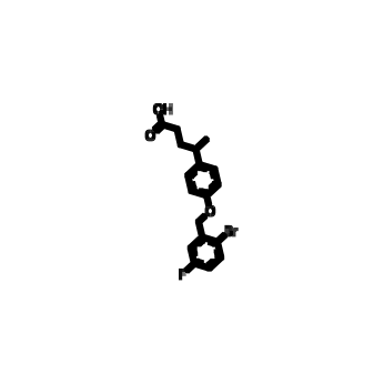 CC(CCC(=O)O)c1ccc(OCc2cc(F)ccc2Br)cc1